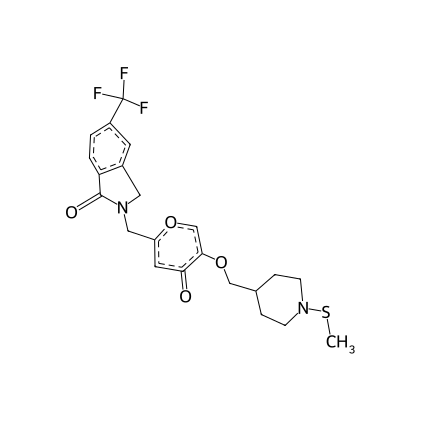 CSN1CCC(COc2coc(CN3Cc4cc(C(F)(F)F)ccc4C3=O)cc2=O)CC1